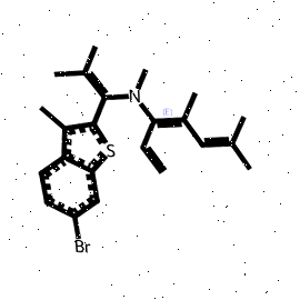 C=C/C(=C(/C)C=C(C)C)N(C)C(=C(C)C)c1sc2cc(Br)ccc2c1C